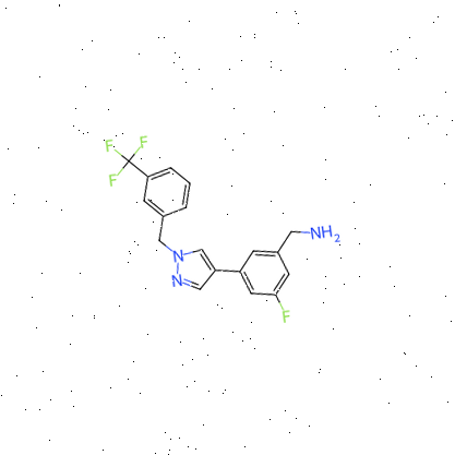 NCc1cc(F)cc(-c2cnn(Cc3cccc(C(F)(F)F)c3)c2)c1